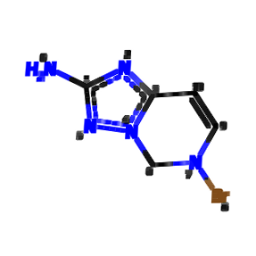 Nc1nc2n(n1)CN(Br)C=C2